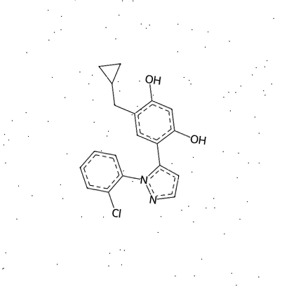 Oc1cc(O)c(-c2ccnn2-c2ccccc2Cl)cc1CC1CC1